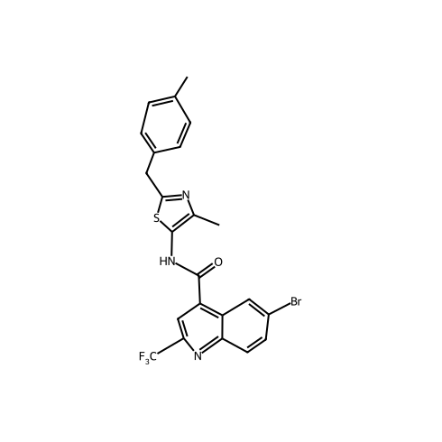 Cc1ccc(Cc2nc(C)c(NC(=O)c3cc(C(F)(F)F)nc4ccc(Br)cc34)s2)cc1